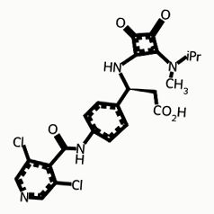 CC(C)N(C)c1c(N[C@@H](CC(=O)O)c2ccc(NC(=O)c3c(Cl)cncc3Cl)cc2)c(=O)c1=O